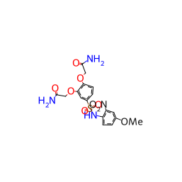 COc1ccc(NS(=O)(=O)c2ccc(OCC(N)=O)c(OCC(N)=O)c2)c([N+](=O)[O-])c1